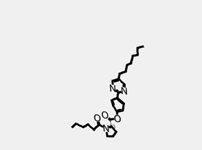 CCCCCCCCc1cnc(-c2ccc(OC(=O)[C@@H]3CCCN3C(=O)CCCCC)cc2)nc1